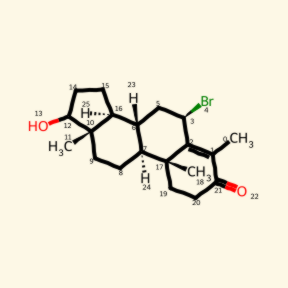 CC1=C2[C@H](Br)C[C@@H]3[C@H](CC[C@]4(C)C(O)CC[C@@H]34)[C@@]2(C)CCC1=O